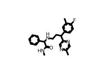 CNC(=O)C(NCCC(c1ccc(F)c(C)c1)c1cnc(C)cn1)c1ccccc1